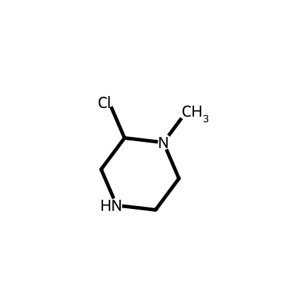 CN1CCNCC1Cl